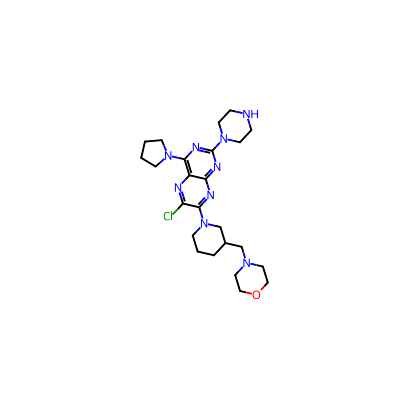 Clc1nc2c(N3CCCC3)nc(N3CCNCC3)nc2nc1N1CCCC(CN2CCOCC2)C1